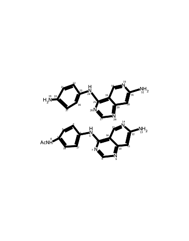 CC(=O)Nc1ccc(Nc2ncnc3cc(N)ncc23)cc1.Nc1ccc(Nc2ncnc3cc(N)ncc23)cc1